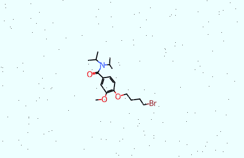 COc1cc(C(=O)N(C(C)C)C(C)C)ccc1OCCCCBr